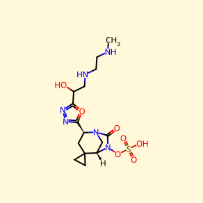 CNCCNCC(O)c1nnc([C@@H]2CC3(CC3)[C@@H]3CN2C(=O)N3OS(=O)(=O)O)o1